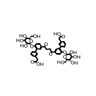 O=C(O)Cc1cccc(-c2cc(C(=O)CCC(=O)c3ccc(O[C@@H]4O[C@H](CO)[C@@H](O)[C@H](O)[C@@H]4O)c(-c4cccc(CC(=O)O)c4)c3)ccc2O[C@@H]2O[C@H](CO)[C@@H](O)[C@H](O)[C@@H]2O)c1